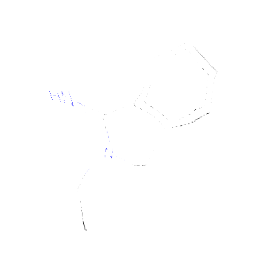 CCN1Cc2ccccc2C1=N